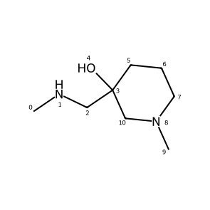 CNCC1(O)CCCN(C)C1